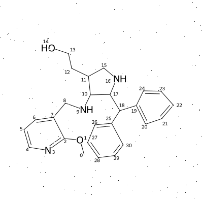 COc1ncccc1CNC1C(CCO)CNC1C(c1ccccc1)c1ccccc1